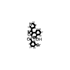 O=C(Nc1onc(-c2cccnc2)c1-c1ccccc1C(=O)O)c1cccc(Br)c1